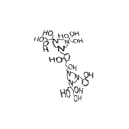 OC[C@@H](O)[C@@H](CO)N1CCN(Cc2ccccc2O)CCN(C[C@@H](O)Cc2cccc(CN3CCN([C@H](CO)[C@H](O)CO)CCN([C@H](CO)[C@H](O)CO)CC3)c2O)CC1